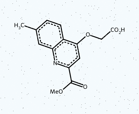 COC(=O)c1cc(OCC(=O)O)c2ccc(C)cc2n1